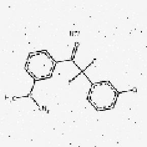 CN(C)c1cccc(C(=O)C(F)(F)c2cccc(Cl)c2)c1.Cl